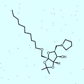 CCCCCCCCCCOC[C@@]12O[C@@H](CN3CCCC3)[C@@H](O)[C@@H]1OC(C)(C)O2